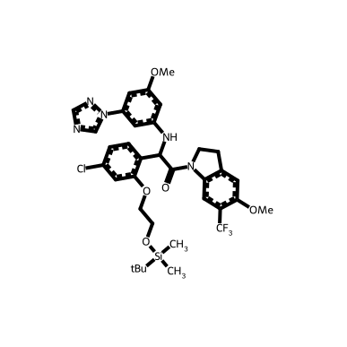 COc1cc(NC(C(=O)N2CCc3cc(OC)c(C(F)(F)F)cc32)c2ccc(Cl)cc2OCCO[Si](C)(C)C(C)(C)C)cc(-n2cncn2)c1